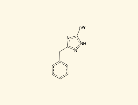 CCCc1nc(Cc2ccccc2)n[nH]1